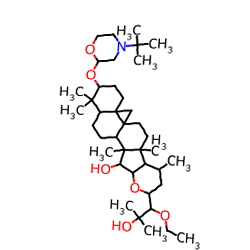 CCOC(C1CC(C)C2C(O1)C(O)C1(C)C3CCC4C(C)(C)C(OC5CN(C(C)(C)C)CCO5)CCC45CC35CCC21C)C(C)(C)O